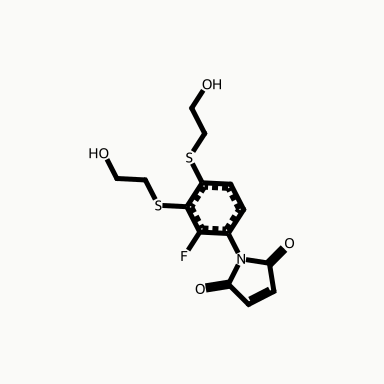 O=C1C=CC(=O)N1c1ccc(SCCO)c(SCCO)c1F